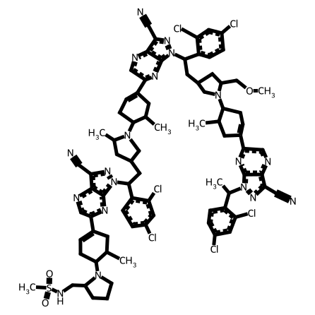 COCC1CC(CC(c2ccc(Cl)cc2Cl)n2nc(C#N)c3ncc(C4=CCC(N5CC(CC(c6ccc(Cl)cc6Cl)n6nc(C#N)c7ncc(C8=CCC(N9CCCC9CNS(C)(=O)=O)C(C)C8)nc76)CC5C)C(C)C4)nc32)CN1C1CC=C(c2cnc3c(C#N)nn(C(C)c4ccc(Cl)cc4Cl)c3n2)CC1C